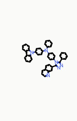 c1ccc(-c2nnc(-c3ccc4cccnc4c3)n2-c2ccc(N(c3ccccc3)c3ccc(-n4c5ccccc5c5ccccc54)cc3)cc2)cc1